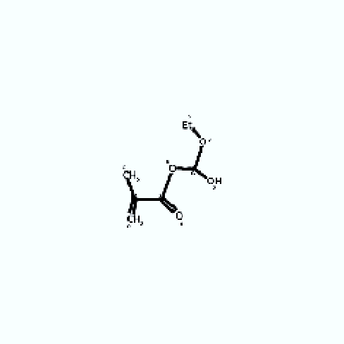 C=C(C)C(=O)OC(O)OCC